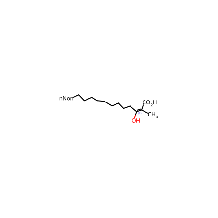 CCCCCCCCCCCCCCCCCC/C(O)=C(/C)C(=O)O